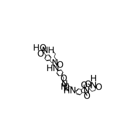 CCCCN(Cc1ccc(C(=O)NO)cc1)C(=O)Nc1ccc(OCn2cc(CNc3ccc4c(c3)C(=O)N(C3CCC(=O)NC3=O)C4=O)nn2)cc1